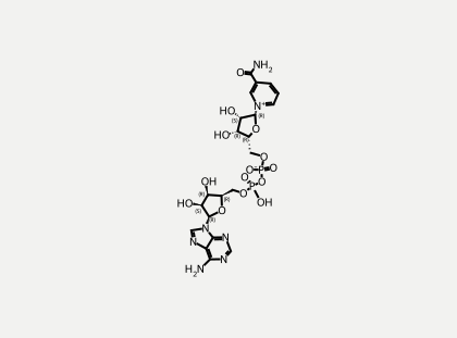 NC(=O)c1ccc[n+]([C@@H]2O[C@H](COP(=O)([O-])OP(=O)(O)OC[C@H]3O[C@@H](n4cnc5c(N)ncnc54)[C@@H](O)[C@H]3O)[C@H](O)[C@@H]2O)c1